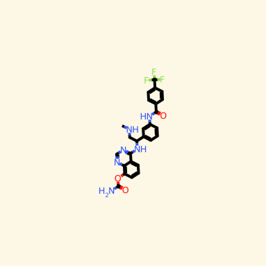 CNCC(Nc1ncnc2c(OC(N)=O)cccc12)c1cccc(NC(=O)c2ccc(C(F)(F)F)cc2)c1